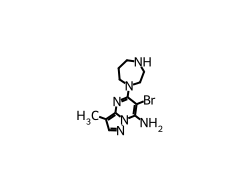 Cc1cnn2c(N)c(Br)c(N3CCCNCC3)nc12